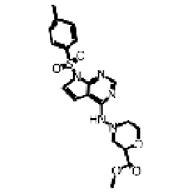 COC(=O)C1CN(Nc2ncnc3c2ccn3S(=O)(=O)c2ccc(C)cc2)CCO1